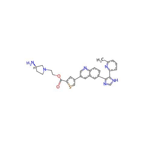 Cc1cccc(-c2[nH]cnc2-c2ccc3ncc(-c4csc(C(=O)OCCN5CC[C@@H](N)C5)c4)cc3c2)n1